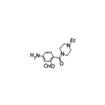 CCN1CCN(C(=O)c2ccc(N)cc2C=O)CC1